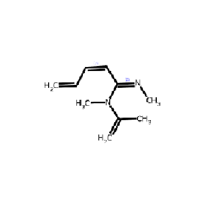 C=C/C=C\C(=N\C)N(C)C(=C)C